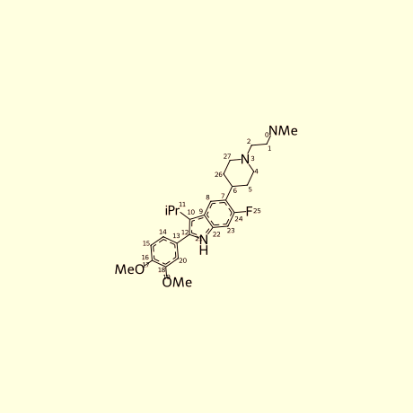 CNCCN1CCC(c2cc3c(C(C)C)c(-c4ccc(OC)c(OC)c4)[nH]c3cc2F)CC1